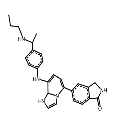 CCCNC(C)c1ccc(NC2=CC=C(c3ccc4c(c3)CNC4=O)N3C=CNC23)cc1